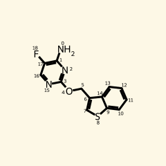 Nc1nc(OCc2csc3ccccc23)ncc1F